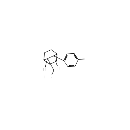 NC[C@@H]1C2CCC(CC2)[C@@H]1c1ccc(F)cc1